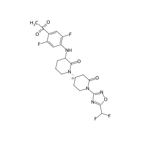 CS(=O)(=O)c1cc(F)c(NC2CCCN([C@H]3CCN(c4noc(C(F)F)n4)C(=O)C3)C2=O)cc1F